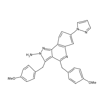 COc1ccc(Cc2nc3cc(-n4cccn4)ccc3c3nn(N)c(Cc4ccc(OC)cc4)c23)cc1